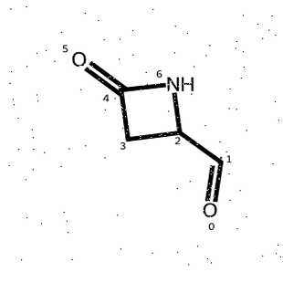 O=[C]C1CC(=O)N1